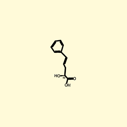 O=C(O)[C@@H](O)CC=Cc1ccccc1